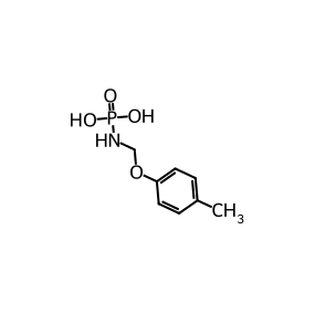 Cc1ccc(OCNP(=O)(O)O)cc1